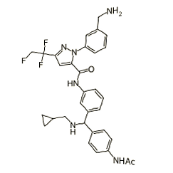 CC(=O)Nc1ccc(C(NCC2CC2)c2cccc(NC(=O)c3cc(C(F)(F)CF)nn3-c3cccc(CN)c3)c2)cc1